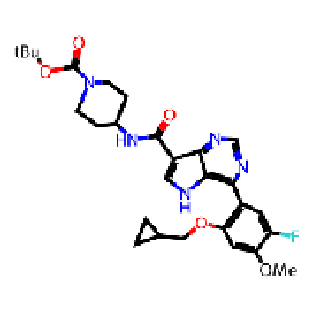 COc1cc(OCC2CC2)c(-c2ncnc3c(C(=O)NC4CCN(C(=O)OC(C)(C)C)CC4)c[nH]c23)cc1F